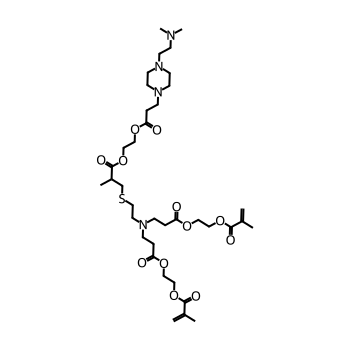 C=C(C)C(=O)OCCOC(=O)CCN(CCSCC(C)C(=O)OCCOC(=O)CCN1CCN(CCN(C)C)CC1)CCC(=O)OCCOC(=O)C(=C)C